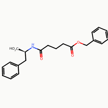 O=C(CCCC(=O)OCc1ccccc1)N[C@@H](Cc1ccccc1)C(=O)O